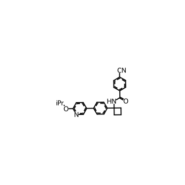 CC(C)Oc1ccc(-c2ccc(C3(NC(=O)c4ccc(C#N)cc4)CCC3)cc2)cn1